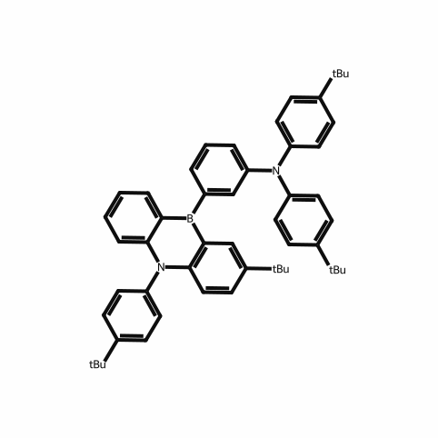 CC(C)(C)c1ccc(N(c2ccc(C(C)(C)C)cc2)c2cccc(B3c4ccccc4N(c4ccc(C(C)(C)C)cc4)c4ccc(C(C)(C)C)cc43)c2)cc1